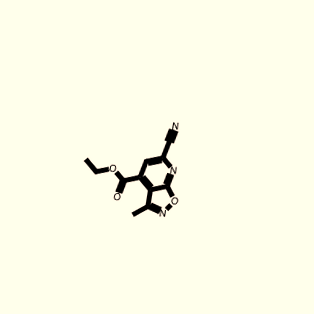 CCOC(=O)c1cc(C#N)nc2onc(C)c12